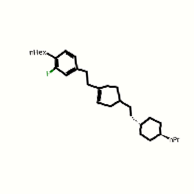 CCCCCCc1ccc(CCC2=CCC(CC[C@H]3CC[C@H](CCC)CC3)CC2)cc1F